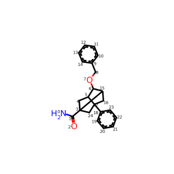 NC(=O)C12CC3C(OCc4ccccc4)C1CC3(c1ccccc1)C2